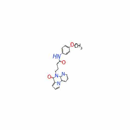 COc1ccc(NC(=O)CCCn2c(=O)c3cccn3c3cccnc32)cc1